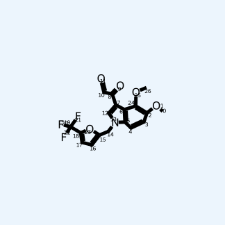 COc1ccc2c(c(C(=O)C=O)cn2Cc2ccc(C(F)(F)F)o2)c1OC